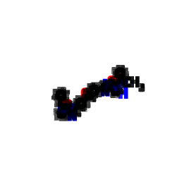 CN[C@@H](C(=O)N1CCC[C@H]1c1nc(-c2ccc3oc(-c4ccc(-c5cnc([C@@H]6CCCN6C(=O)Cc6ccccc6)[nH]5)cc4)cc3c2)c[nH]1)c1ccccc1